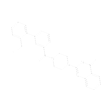 O=C(c1cccc(-c2ccccc2CO)c1)N1CCN(c2nc3ccccc3c(=O)[nH]2)CC1